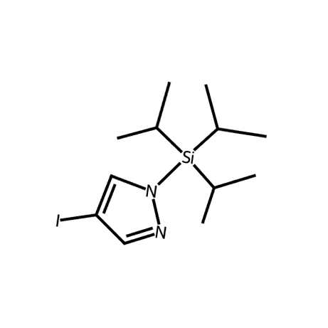 CC(C)[Si](C(C)C)(C(C)C)n1cc(I)cn1